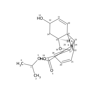 CC(C)OC(=O)N1CCC23C=CC(O)C[C@@H]2Oc2c(O)ccc(c23)C1